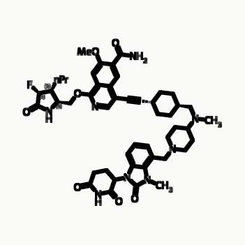 CCC[C@@H]1[C@H](F)C(=O)N[C@@H]1COc1ncc(C#C[C@H]2CC[C@H](CN(C)C3CCN(Cc4cccc5c4n(C)c(=O)n5C4CCC(=O)NC4=O)CC3)CC2)c2cc(C(N)=O)c(OC)cc12